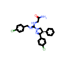 NC(=O)CN/C(=N\Cc1ccc(Cl)cc1)N1C[C@@H](c2ccccc2)C(c2ccc(Cl)cc2)=N1